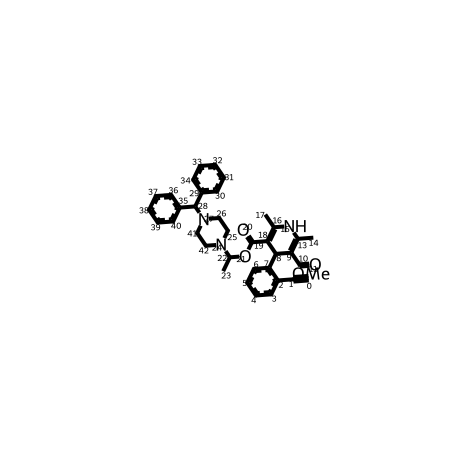 C#Cc1ccccc1C1C(C(=O)OC)=C(C)NC(C)=C1C(=O)OC(C)N1CCN(C(c2ccccc2)c2ccccc2)CC1